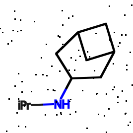 CC(C)NC1CC2CC(C2)C1